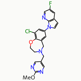 COc1ncc(CN2CCOc3c(Cl)cc(-n4ccc5cc(F)cnc54)cc3C2)cn1